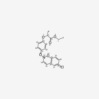 CCOC(=O)C(C)Oc1ccc(ON2C=Cc3cc(Cl)ccc3O2)cc1